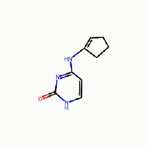 O=c1nc(NC2=CCCC2)cc[nH]1